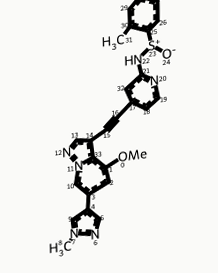 COc1cc(-c2cnn(C)c2)cn2ncc(C#Cc3ccnc(N[S+]([O-])c4ccccc4C)c3)c12